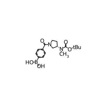 CN(C(=O)OC(C)(C)C)[C@H]1CCN(C(=O)c2ccc(B(O)O)cc2)C1